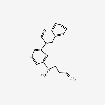 C=CCCN(C)c1cncc(N(C=O)Cc2ccccc2)c1